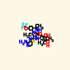 Cc1nc(N[C@H](C)c2ccc(OC(F)(F)F)cc2)nc(NC2C[C@H](C(C)(C)O)[C@@H](O)[C@H]2O)c1-c1nc2c(N)nccc2s1